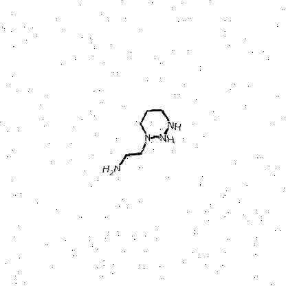 NCCN1CCCNN1